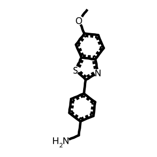 COc1ccc2nc(-c3ccc(CN)cc3)sc2c1